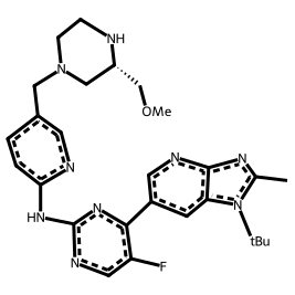 COC[C@@H]1CN(Cc2ccc(Nc3ncc(F)c(-c4cnc5nc(C)n(C(C)(C)C)c5c4)n3)nc2)CCN1